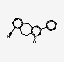 N#Cc1cccc2c1CCc1c(cc(-c3ccccc3)c[n+]1[O-])C2